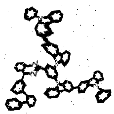 c1ccc(-c2ccccc2-c2cccc(-c3nc(-c4cc(-n5c6ccccc6c6cc(-c7ccc8c(c7)c7ccccc7n8-c7ccccc7)ccc65)cc(-n5c6ccccc6c6cc(-c7ccc8c(c7)c7ccccc7n8-c7ccccc7)ccc65)c4)nc4ccccc34)c2)cc1